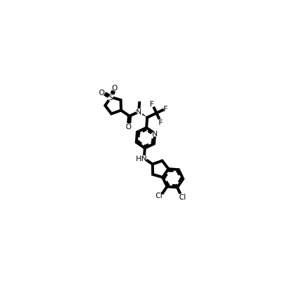 CN(C(=O)C1CCS(=O)(=O)C1)[C@@H](c1ccc(NC2Cc3ccc(Cl)c(Cl)c3C2)cn1)C(F)(F)F